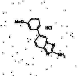 COc1cccc(-c2ccc3nc(N)nn3c2)c1.Cl